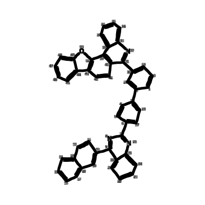 c1cc(-c2ccc(-c3nc(-c4ccc5ccccc5c4)c4ccccc4n3)cc2)cc(-c2nc3ccccc3c3c2ccc2c4ccccc4oc23)c1